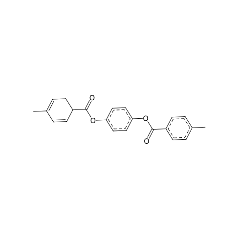 CC1=CCC(C(=O)Oc2ccc(OC(=O)c3ccc(C)cc3)cc2)C=C1